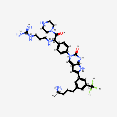 C[C@H](N)CCCc1cc(-c2cc3cn(-c4ccc([C@@H](NCCCNC(=N)N)C(=O)N5CCNCC5)cc4)c(=O)nc3[nH]2)cc(C(F)(F)F)c1